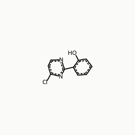 Oc1ccccc1-c1nccc(Cl)n1